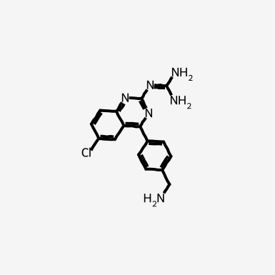 NCc1ccc(-c2nc(N=C(N)N)nc3ccc(Cl)cc23)cc1